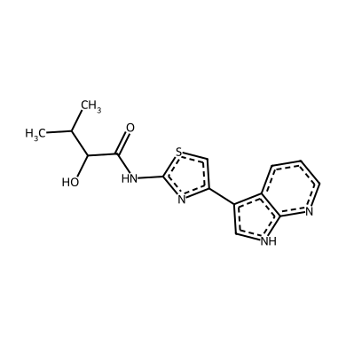 CC(C)C(O)C(=O)Nc1nc(-c2c[nH]c3ncccc23)cs1